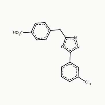 O=C(O)c1ccc(Cc2nnc(-c3cccc(C(F)(F)F)c3)o2)cc1